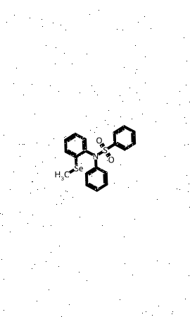 C[Se]c1ccccc1N(c1ccccc1)S(=O)(=O)c1ccccc1